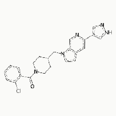 O=C(c1ccccc1Cl)N1CCC(Cn2ccc3cc(-c4cn[nH]c4)ncc32)CC1